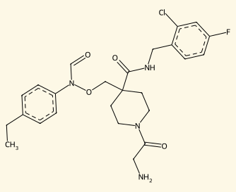 CCc1ccc(N(C=O)OCC2(C(=O)NCc3ccc(F)cc3Cl)CCN(C(=O)CN)CC2)cc1